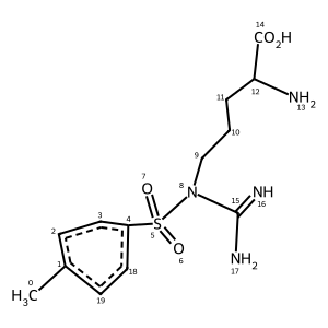 Cc1ccc(S(=O)(=O)N(CCCC(N)C(=O)O)C(=N)N)cc1